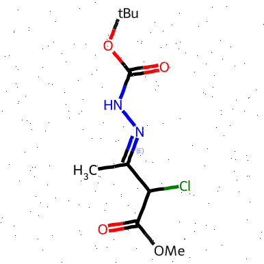 COC(=O)C(Cl)/C(C)=N/NC(=O)OC(C)(C)C